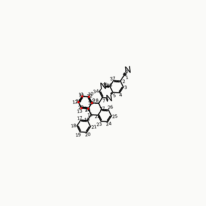 N#Cc1ccc2nc(C34c5ccccc5C(c5ccccc5)(c5ccccc53)c3ccccc34)cnc2c1